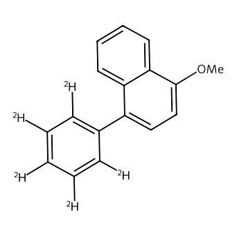 [2H]c1c([2H])c([2H])c(-c2ccc(OC)c3ccccc23)c([2H])c1[2H]